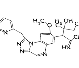 CCC(C)(O)C(C(C)=N)c1cc2ncc3nnc(Cc4ccccn4)n3c2cc1OC